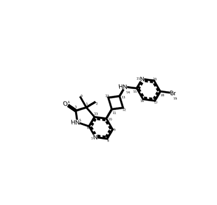 CC1(C)C(=O)Nc2nccc(C3CC(Nc4ccc(Br)cn4)C3)c21